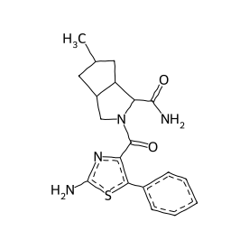 CC1CC2CN(C(=O)c3nc(N)sc3-c3ccccc3)C(C(N)=O)C2C1